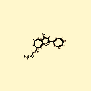 COCOC1C=c2oc(C3=CC=CC=CC3)cc(=O)c2=CCC1